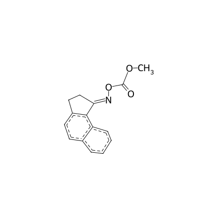 COC(=O)O/N=C1\CCc2ccc3ccccc3c21